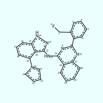 FCc1ccccc1-c1nc(Nc2n[nH]c3cccc(-n4cccc4)c23)c2ccccc2n1